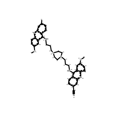 COc1ccc2nc3cc(C)ccc3c(NCCCN3CCN(CCCNc4c5ccc(C#N)cc5nc5ccc(OC)cc45)CC3)c2c1